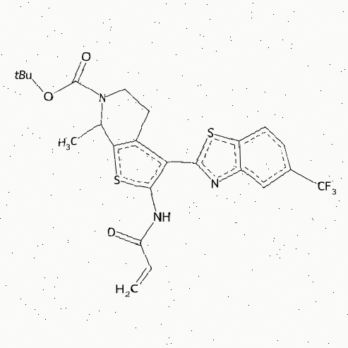 C=CC(=O)Nc1sc2c(c1-c1nc3cc(C(F)(F)F)ccc3s1)CCN(C(=O)OC(C)(C)C)C2C